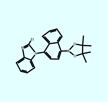 CCc1nc2ccccc2n1-c1ccc(B2OC(C)(C)C(C)(C)O2)c2ccccc12